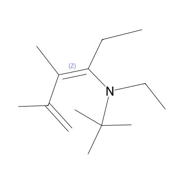 C=C(C)/C(C)=C(/CC)N(CC)C(C)(C)C